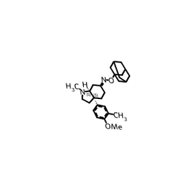 COc1ccc([C@@]23CCC(=NOC45CC6CC(CC(C6)C4)C5)C[C@@H]2N(C)CC3)cc1C